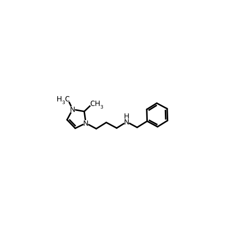 CC1N(C)C=CN1CCCNCc1ccccc1